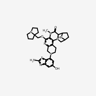 CN1C(=O)C2C3CCC(CN2c2c4c(nc(OCC56CCCN5CCC6)c21)CN(c1cc(O)cc2nc(N)sc12)CC4)N3